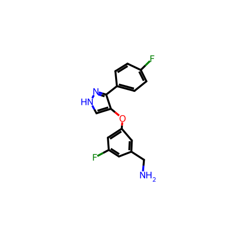 NCc1cc(F)cc(Oc2c[nH]nc2-c2ccc(F)cc2)c1